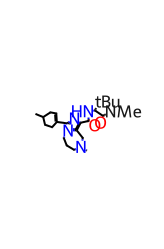 CNC(=O)C(NC(=O)c1nc(C2=CCC(C)CC2)n2c1CN(C)CCC2)C(C)(C)C